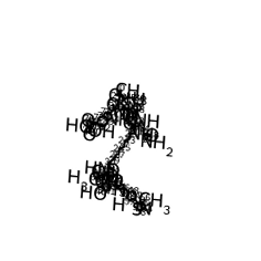 CC(=O)N1CC[C@H]2CC[C@@H](C(=O)N[C@@H](CCC(N)=O)C(=O)NCCCCCCCCCC(=O)N[C@H](C(=O)N3C[C@H](O)C[C@H]3C(=O)NCc3ccc(-c4scnc4C)cc3)C(C)(C)C)N2C(=O)C(NC(=O)c2cc3cc(C(=O)P(=O)(O)O)ccc3[nH]2)C1